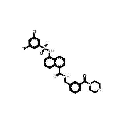 O=C(NCc1cccc(C(=O)N2CCOCC2)c1)c1cccc2c(NS(=O)(=O)c3cc(Cl)cc(Cl)c3)cccc12